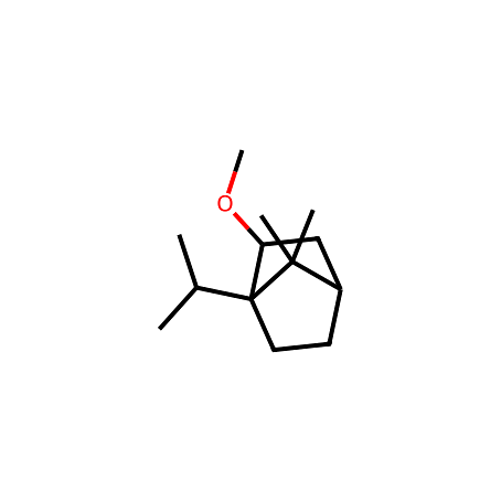 COC1CC2CCC1(C(C)C)C2(C)C